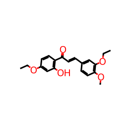 CCOc1ccc(C(=O)C=Cc2ccc(OC)c(OCC)c2)c(O)c1